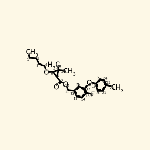 CCCCCOC1C(C(=O)OCc2ccc(F)c(Oc3ccc(C)cc3)c2)C1(C)C